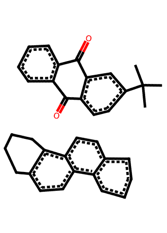 CC(C)(C)c1ccc2c(c1)C(=O)c1ccccc1C2=O.c1ccc2c(c1)ccc1c3c(ccc12)CCCC3